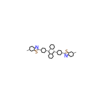 C/C(c1ccc(-c2nc3ccc(C)cc3s2)cc1)=c1/cccc/c1=C(/c1ccccc1)c1ccc(-c2nc3ccc(C)cc3s2)cc1